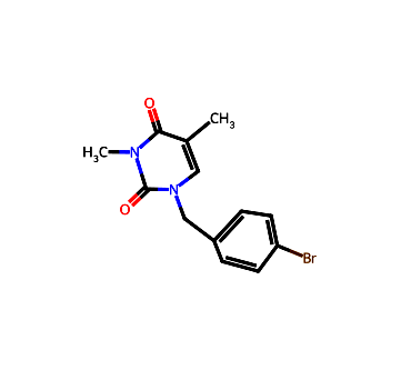 Cc1cn(Cc2ccc(Br)cc2)c(=O)n(C)c1=O